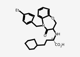 CCc1ccc(CN2C(=O)C(N[C@@H](CCC3CCCCC3)C(=O)O)COc3ccccc32)cc1